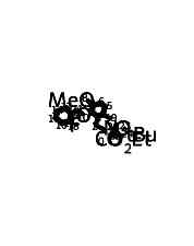 CCOC(=O)[C@@H]1Cc2c(ccc(OC)c2OCc2ccccc2F)CN1C(=O)OC(C)(C)C